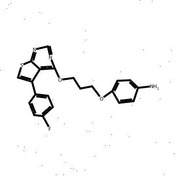 Nc1ccc(OCCCOc2ncnc3scc(-c4ccc(F)cc4)c23)cc1